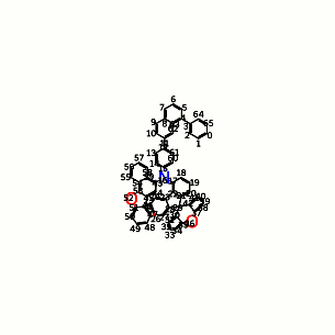 c1ccc(-c2cccc3ccc(-c4ccc(N(c5cccc6c5-c5ccccc5C65c6ccccc6Oc6ccccc65)c5cc6c7ccccc7oc6c6ccccc56)cc4)cc23)cc1